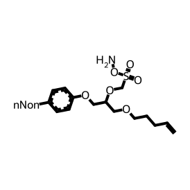 C=CCCCOCC(COc1ccc(CCCCCCCCC)cc1)OCS(=O)(=O)ON